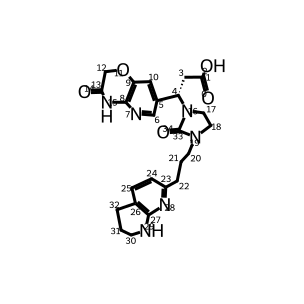 O=C(O)C[C@@H](c1cnc2c(c1)OCC(=O)N2)N1CCN(CCCc2ccc3c(n2)NCCC3)C1=O